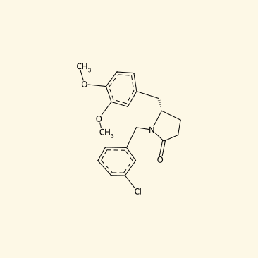 COc1ccc(C[C@@H]2CCC(=O)N2Cc2cccc(Cl)c2)cc1OC